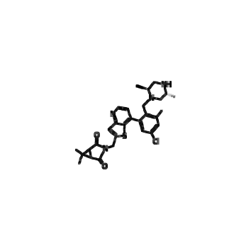 Cc1cc(Cl)cc(-c2ccnc3cc(CN4C(=O)C5C(C4=O)C5(C)C)sc23)c1CN1C[C@@H](C)NC[C@@H]1C